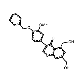 COc1cc(-c2coc3cc(CO)cc(CO)c3c2=O)ccc1OCc1ccccc1